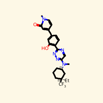 CC[C@]1(C(F)(F)F)CCC[C@H](N(C)c2cnc(-c3ccc(-c4ccn(C)c(=O)c4)cc3O)nn2)C1